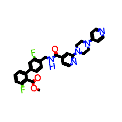 COC(=O)c1c(F)cccc1-c1ccc(CNC(=O)c2ccnc(N3CCN(c4ccncc4)CC3)c2)c(F)c1